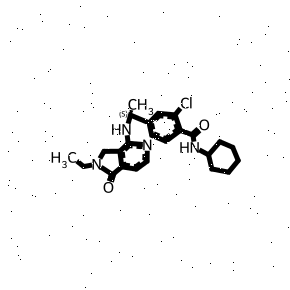 CCN1Cc2c(ccnc2N[C@@H](C)c2ccc(C(=O)NC3CCCCC3)c(Cl)c2)C1=O